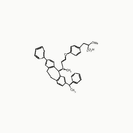 COC(Cc1ccc(OCCN(C)C2c3ccc(-c4ccccc4)cc3CCc3ccc(C(C)c4ccccc4)cc32)cc1)C(=O)O